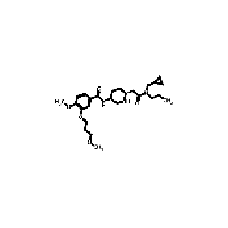 CCCN(CC1CC1)C(=O)C[C@@H]1CCC(NC(=O)c2ccc(OC)c(OCCCOC)c2)CN1